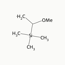 [CH2]C(OC)[Si](C)(C)C